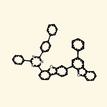 c1ccc(-c2ccc(-c3nc(-c4ccccc4)nc(-c4cccc5c4oc4cc(-c6cc(-c7ccccc7)cc7c6oc6ccccc67)ccc45)n3)cc2)cc1